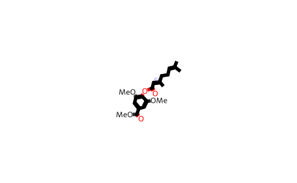 COC(=O)c1cc(OC)c(OC(=O)/C=C(\C)CCC=C(C)C)c(OC)c1